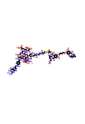 C=C1CC(/C=N/OC)N(C(=O)c2cc(OC)c(OCCCCCOc3cc4c(cc3OC)C(=O)N3CC(=C)C[C@H]3C=N4)cc2NC(=O)OCC(C)(C)SSCCC(=O)NCCNC(=O)CCN2C(=O)CC(SC[C@H](NC(=O)[C@H](CCC(=O)O)NC(=O)[C@H](CC(=O)O)NC(=O)[C@H](CCCNC(=N)N)NC(=O)[C@H](CC(=O)O)NC(=O)CC[C@@H](C)NC(=O)c3ccc(NCc4cnc5nc(N)[nH]c(=O)c5n4)cc3)C(=O)O)C2=O)C1